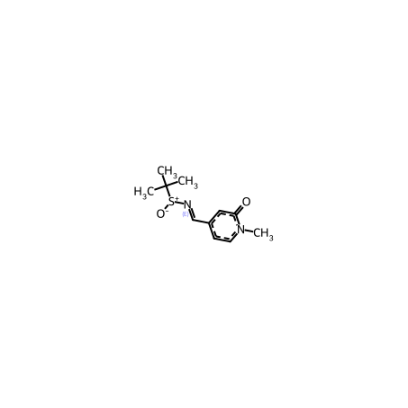 Cn1ccc(/C=N/[S+]([O-])C(C)(C)C)cc1=O